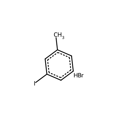 Br.Cc1cccc(I)c1